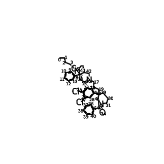 CCCCCN(C)C1(c2ccccc2)CCN(CCCC2(c3ccc(Cl)c(Cl)c3)CCCN(C(=O)c3ccccc3)C2)CC1